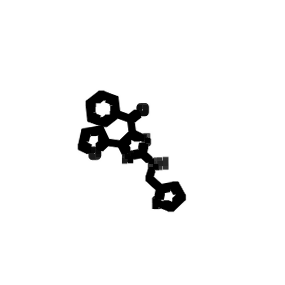 O=C(c1ccccc1)c1sc(NCc2cccs2)nc1-c1ccco1